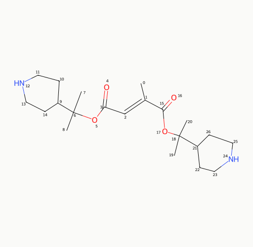 C/C(=C\C(=O)OC(C)(C)C1CCNCC1)C(=O)OC(C)(C)C1CCNCC1